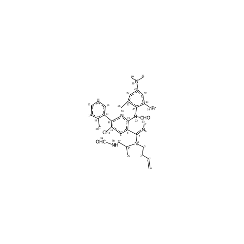 C=CCCN(/C(=N/C)c1cc(Cl)c(-c2ccccc2F)nc1N(C=O)c1c(C)cc(N(C)C)cc1C(C)C)C(C)CNC=O